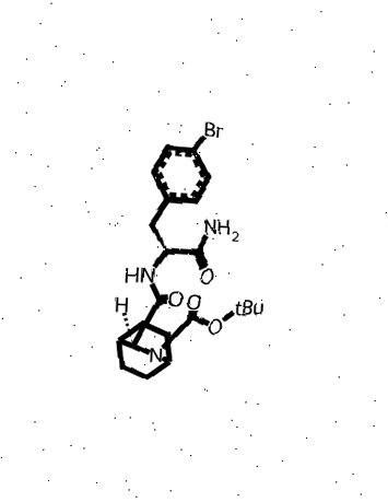 CC(C)(C)OC(=O)N1C2CCC(CC2)[C@H]1C(=O)N[C@@H](Cc1ccc(Br)cc1)C(N)=O